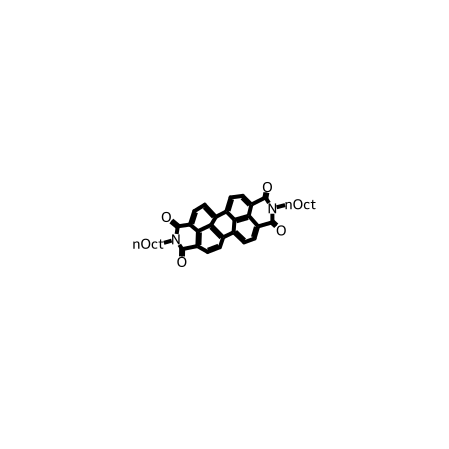 CCCCCCCCN1C(=O)c2ccc3c4ccc5c6c(ccc(c7ccc(c2c37)C1=O)c64)C(=O)N(CCCCCCCC)C5=O